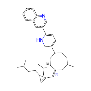 CC(C)CCC1C=C1/C=C1/CC(C)CCC(C2=CC=C(c3cnc4ccccc4c3)NC2)C[C@H]1C(C)C